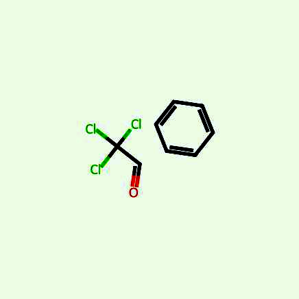 O=CC(Cl)(Cl)Cl.c1ccccc1